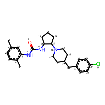 Cc1ccc(C)c(NC(=O)NC2CCCC2N2CCC(Cc3ccc(Cl)cc3)CC2)c1